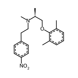 Cc1cccc(C)c1OC[C@H](C)N(C)CCc1ccc([N+](=O)[O-])cc1